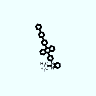 CC(C)c1nc2ccccc2n1-c1ccc(-c2c3ccccc3c(-c3ccc(-c4ccc(-c5ccccc5)cc4)cc3)c3ccccc23)cc1